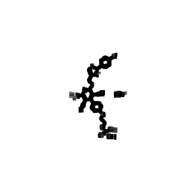 N#CC1=C(N)[N-]C(SCC2=CSC(c3ccc(Cl)cc3)[N-]2)C(C#N)=C1c1ccc(OCCOP(=O)(O)O)cc1.[Na+].[Na+]